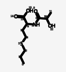 CCCSCCC(NC(=O)C(C)O)C(=O)O